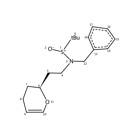 CC(C)(C)[S+]([O-])N(CC[C@@H]1CCC=CO1)Cc1ccccc1